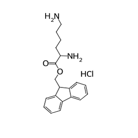 Cl.NCCCCC(N)C(=O)OCC1c2ccccc2-c2ccccc21